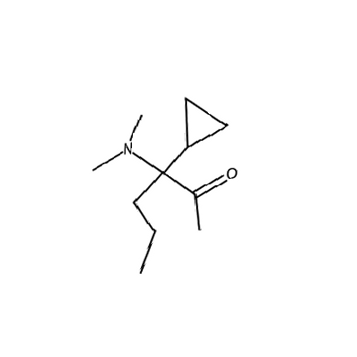 CCCC(C(C)=O)(C1CC1)N(C)C